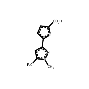 Cn1nc(-c2ccc(C(=O)O)s2)cc1C(F)(F)F